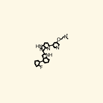 CN(C)CCOc1cncc(-c2ccc3[nH]nc(-c4cc5c(-c6ccccc6F)cccc5[nH]4)c3n2)c1